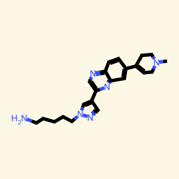 CN1CC=C(c2ccc3ncc(-c4cnn(CCCCCN)c4)nc3c2)CC1